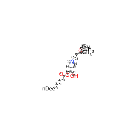 CCCCCCCCCCCCCCCC(=O)OCC(CO)C1CCN(CCCCO[Si](C)(C)C(C)(C)C)CC1